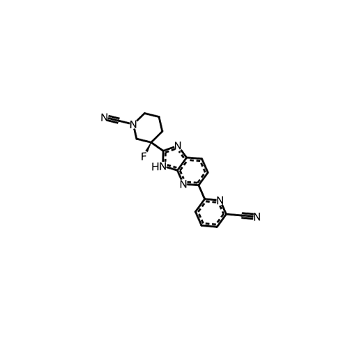 N#Cc1cccc(-c2ccc3nc([C@@]4(F)CCCN(C#N)C4)[nH]c3n2)n1